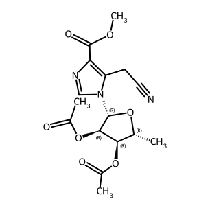 COC(=O)c1ncn([C@@H]2O[C@H](C)[C@@H](OC(C)=O)[C@H]2OC(C)=O)c1CC#N